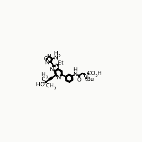 CCn1c(-c2nonc2N)nc2c(C#CC(C)(C)O)nc(-c3cccc(NC(=O)CN(C(=O)O)C(C)(C)C)c3)cc21